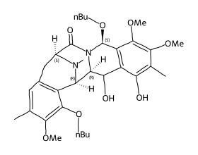 CCCCOc1c(OC)c(C)cc2c1[C@@H]1[C@@H]3C(O)c4c(O)c(C)c(OC)c(OC)c4[C@H](OCCCC)N3C(=O)[C@H](C2)N1C